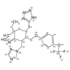 CCC1(C)CC(Sc2nnn[nH]2)C(COc2ccc(OC(F)(F)F)cc2)C(Cn2cncn2)C1=NO